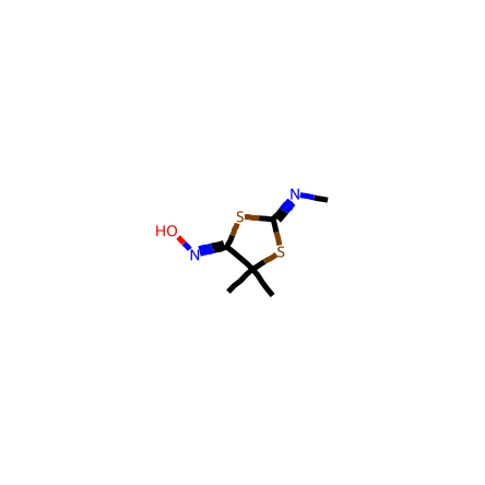 C/N=C1/S/C(=N\O)C(C)(C)S1